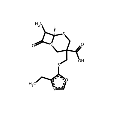 CCc1ncoc1SCC1(C(=O)O)CS[C@@H]2C(N)C(=O)N2C1